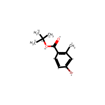 Cc1cc(Br)[c]cc1C(=O)OC(C)(C)C